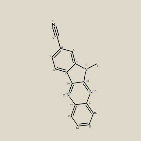 Cn1c2cc(C#N)ccc2c2nc3ccccc3nc21